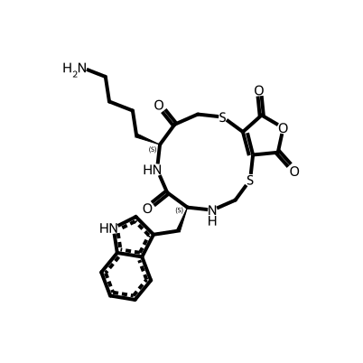 NCCCC[C@@H]1NC(=O)[C@H](Cc2c[nH]c3ccccc23)NCSC2=C(SCC1=O)C(=O)OC2=O